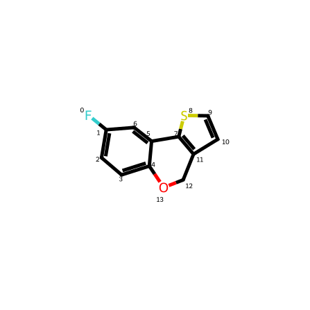 Fc1ccc2c(c1)-c1sccc1CO2